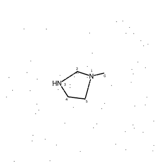 CN1[C]NCC1